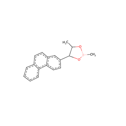 CB1OC(C)C(c2ccc3c(ccc4ccccc43)c2)O1